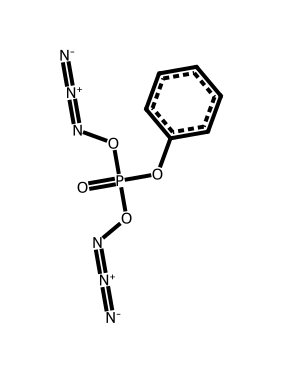 [N-]=[N+]=NOP(=O)(ON=[N+]=[N-])Oc1ccccc1